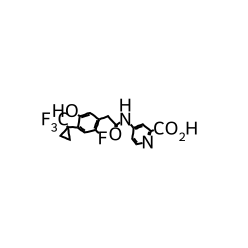 O=C(Cc1cc(O)c(C2(C(F)(F)F)CC2)cc1F)Nc1ccnc(C(=O)O)c1